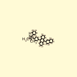 CC1=C(C)N(c2ccc(-c3c4ccccc4c(-c4ccc5ccccc5c4)c4ccccc34)cc2)C(c2ccccc2)N1